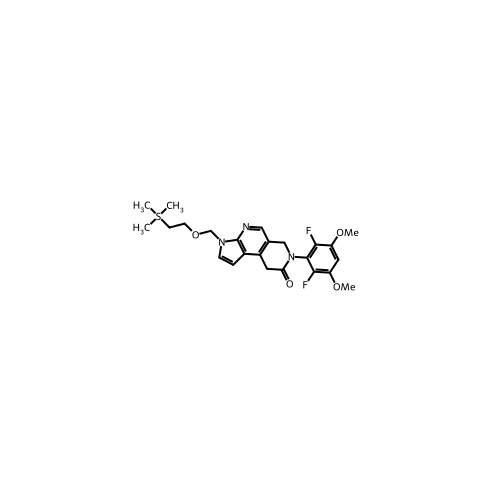 COc1cc(OC)c(F)c(N2Cc3cnc4c(ccn4COCCS(C)(C)C)c3CC2=O)c1F